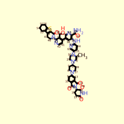 C[C@H]1CN(C2CCN(c3ccc4c(c3)C(=O)N(C3CCC(=O)NC3=O)C4=O)CC2)CCN1c1ccc(Nc2cc(-c3ccnc(N4CCc5c(sc6c5CCCC6)C4=O)c3CO)cnc2C(N)=O)nc1